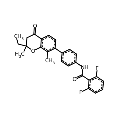 CCC1(C)CC(=O)c2ccc(-c3ccc(NC(=O)c4c(F)cccc4F)cc3)c(C)c2O1